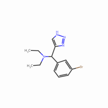 CCN(CC)C(c1cccc(Br)c1)c1c[nH]nn1